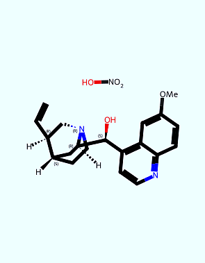 C=C[C@H]1C[N@]2CC[C@H]1C[C@@H]2[C@@H](O)c1ccnc2ccc(OC)cc12.O=[N+]([O-])O